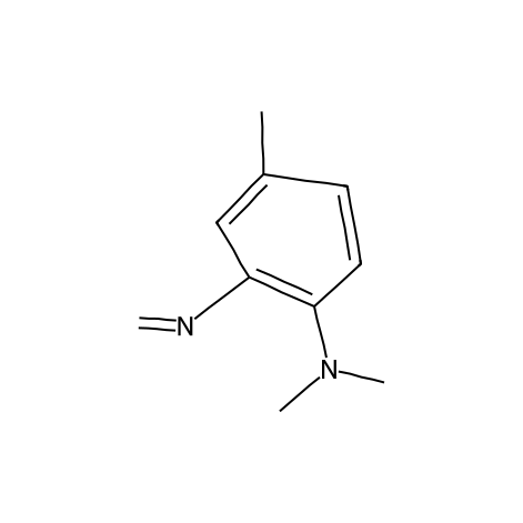 C=Nc1cc(C)ccc1N(C)C